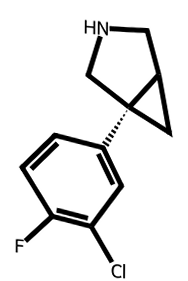 Fc1ccc([C@]23CNCC2C3)cc1Cl